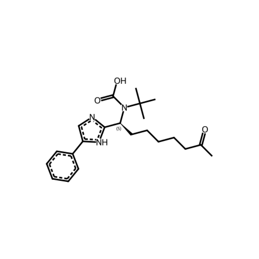 CC(=O)CCCCC[C@@H](c1ncc(-c2ccccc2)[nH]1)N(C(=O)O)C(C)(C)C